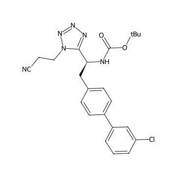 CC(C)(C)OC(=O)N[C@@H](Cc1ccc(-c2cccc(Cl)c2)cc1)c1nnnn1CCC#N